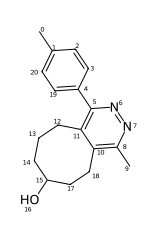 Cc1ccc(-c2nnc(C)c3c2CCCC(O)CC3)cc1